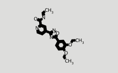 C/C=N/C(=O)c1cc(-c2noc(-c3ccc(OCC)c(OCC)c3)n2)ccn1